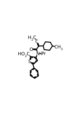 C=C=C(C(=O)N(c1cc(-c2ccccc2)sc1C(=O)O)C(C)C)C1CCC(C)CC1